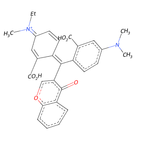 CC/[N+](C)=C1C=C/C(=C(\c2ccc(N(C)C)cc2C(=O)O)c2coc3ccccc3c2=O)C(C(=O)O)=C\1